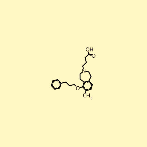 Cc1ccc2c(c1OCCCc1ccccc1)CCN(CCCC(=O)O)CC2